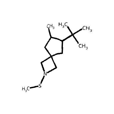 CSN1CC2(CC(C)C(C(C)(C)C)C2)C1